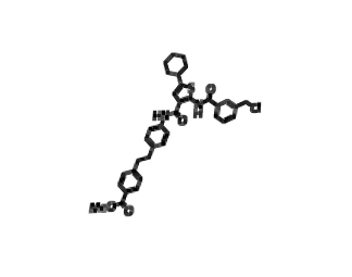 COC(=O)c1ccc(CCc2ccc(NC(=O)c3cc(C4CCCCC4)sc3NC(=O)c3cccc(CCl)c3)cc2)cc1